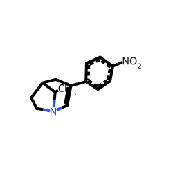 CC1C2CCN1C=C(c1ccc([N+](=O)[O-])cc1)C2